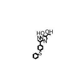 CC(O)c1cnc2c(-c3ccc(Sc4ccccc4)cc3)cnn2c1O